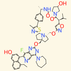 CCc1cccc2cc(O)cc(-c3ncc4c(N5CCCCCC5)nc(OC[C@@]56CCCN5[C@H](COc5cc([C@@H](C(=O)N7C[C@H](O)C[C@H]7C(=O)N[C@@H](C)c7ccc(-c8scnc8C)cc7)C(C)C)on5)CC6)nc4c3F)c12